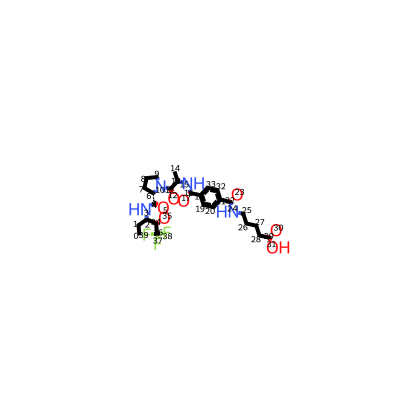 CCC(NC(=O)[C@@H]1CCCN1C(=O)C(C)NC(=O)c1ccc(C(=O)NCCCCC(=O)O)cc1)C(=O)C(F)(F)F